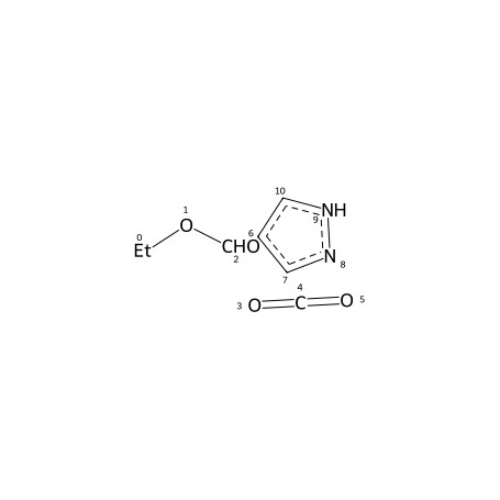 CCOC=O.O=C=O.c1cn[nH]c1